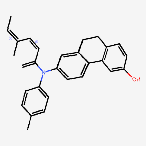 C=C(/C=C\C(C)=C/C)N(c1ccc(C)cc1)c1ccc2c(c1)CCc1ccc(O)cc1-2